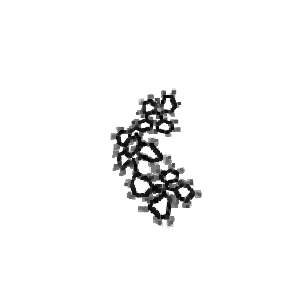 c1ccc(-n2c3ccccc3c3cccc(-c4ccc5c(c4)c4ccccc4n5-c4cccc5c4c4ccccc4n5-c4cccc([Si](c5ccccc5)(c5ccccc5)c5ccccc5)c4)c32)cc1